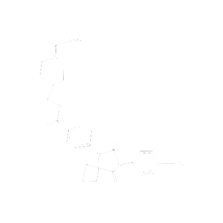 CNC(=O)N1CCC(CNC(=O)c2ccc(N3C(=S)N(c4cnc(C#N)c(C(F)(F)F)c4)C(=O)C34CCC4)cc2)CC1